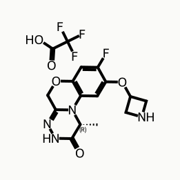 C[C@@H]1C(=O)NN=C2COc3cc(F)c(OC4CNC4)cc3N21.O=C(O)C(F)(F)F